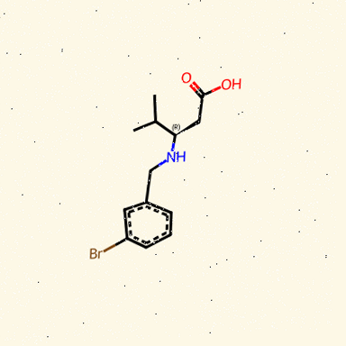 CC(C)[C@@H](CC(=O)O)NCc1cccc(Br)c1